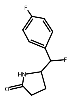 O=C1CCC(C(F)c2ccc(F)cc2)N1